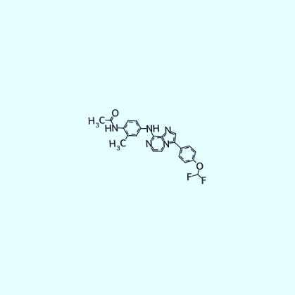 CC(=O)Nc1ccc(Nc2nccn3c(-c4ccc(OC(F)F)cc4)cnc23)cc1C